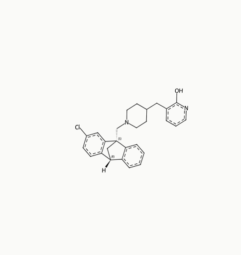 Oc1ncccc1CC1CCN(C[C@@]23C[C@H](c4ccccc42)c2ccc(Cl)cc23)CC1